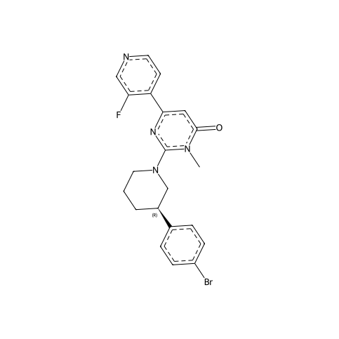 Cn1c(N2CCC[C@H](c3ccc(Br)cc3)C2)nc(-c2ccncc2F)cc1=O